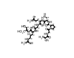 CC(C)[C@H](N)C(=O)NCC(=O)N1CCC[C@H]1C(=O)N[C@@H](CO)C(=O)N[C@@H](CCC(N)=O)C(=O)NCC(=O)N[C@@H](CCCNC(=N)N)C(=O)N[C@@H](CO)C(=O)O